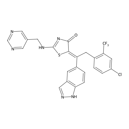 O=C1N=C(NCc2cncnc2)SC1=C(Cc1ccc(Cl)cc1C(F)(F)F)c1ccc2[nH]ncc2c1